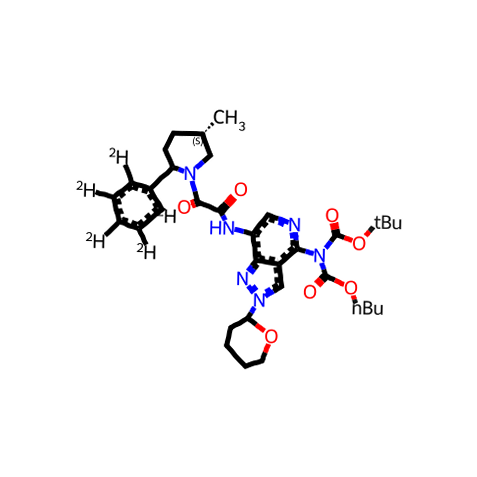 [2H]c1c([2H])c([2H])c(C2CC[C@H](C)CN2C(=O)C(=O)Nc2cnc(N(C(=O)OCCCC)C(=O)OC(C)(C)C)c3cn(C4CCCCO4)nc23)c([2H])c1[2H]